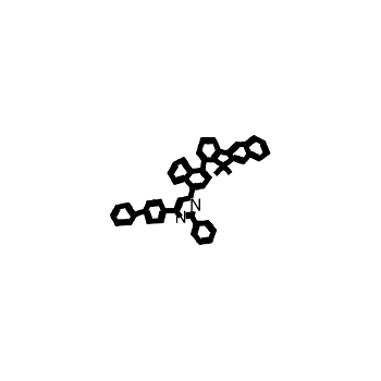 CC1(C)c2cc3ccccc3cc2-c2cccc(-c3ccc(-c4cc(-c5ccc(-c6ccccc6)cc5)nc(-c5ccccc5)n4)c4ccccc34)c21